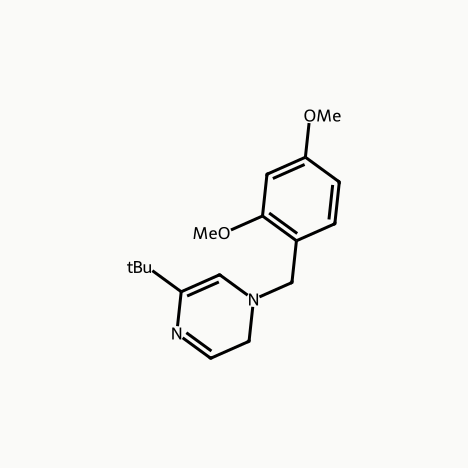 COc1ccc(CN2C=C(C(C)(C)C)N=CC2)c(OC)c1